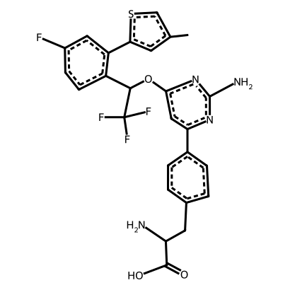 Cc1csc(-c2cc(F)ccc2C(Oc2cc(-c3ccc(CC(N)C(=O)O)cc3)nc(N)n2)C(F)(F)F)c1